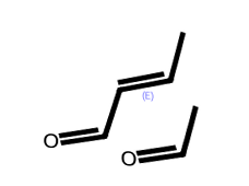 C/C=C/C=O.CC=O